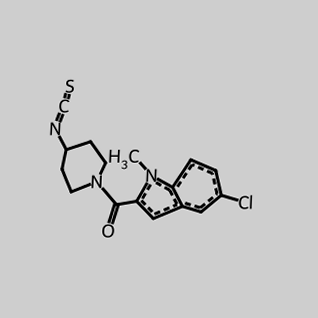 Cn1c(C(=O)N2CCC(N=C=S)CC2)cc2cc(Cl)ccc21